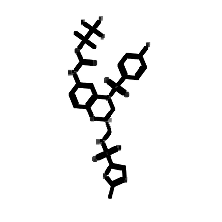 Cc1ncc(S(=O)(=O)NC[C@H]2CN(S(=O)(=O)c3ccc(F)cc3)c3cc(NC(=O)OC(C)(C)C(F)(F)F)ccc3O2)s1